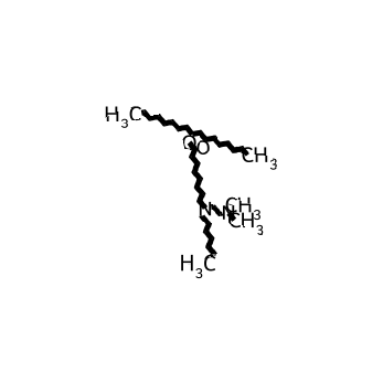 CCCCCCCCC(CCCCCCCC)OC(=O)CCCCCCCN(CCCCCCC)CCN(C)C